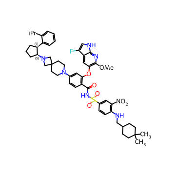 COc1nc2[nH]cc(F)c2cc1Oc1cc(N2CCC3(CC2)CN([C@H]2CCC[C@H]2c2ccccc2C(C)C)C3)ccc1C(=O)NS(=O)(=O)c1ccc(NCC2CCC(C)(C)CC2)c([N+](=O)[O-])c1